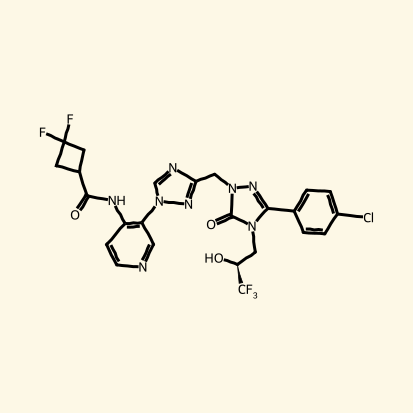 O=C(Nc1ccncc1-n1cnc(Cn2nc(-c3ccc(Cl)cc3)n(C[C@H](O)C(F)(F)F)c2=O)n1)C1CC(F)(F)C1